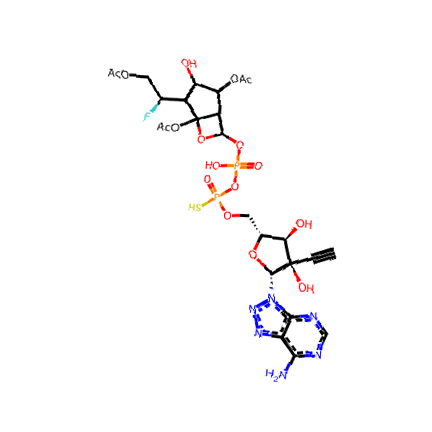 C#C[C@@]1(O)[C@H](O)[C@@H](COP(=O)(S)OP(=O)(O)OC2OC3(OC(C)=O)C2C(OC(C)=O)C(O)C3[C@@H](F)COC(C)=O)O[C@H]1n1nnc2c(N)ncnc21